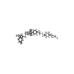 CCN1CCN(CCCOc2ccc(S(=O)(=O)NCCCc3c[nH]c4ccc(F)cc34)cc2)CC1